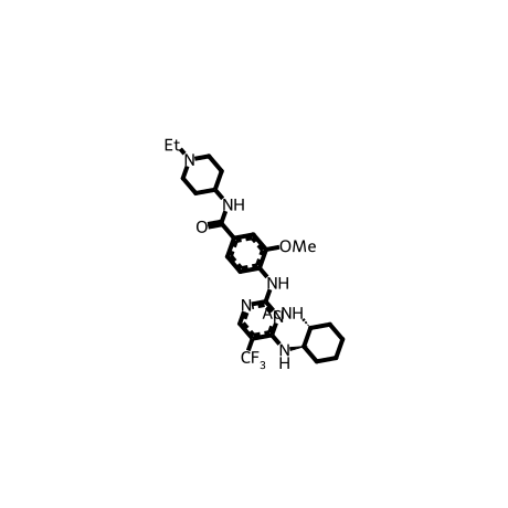 CCN1CCC(NC(=O)c2ccc(Nc3ncc(C(F)(F)F)c(N[C@@H]4CCCC[C@H]4NC(C)=O)n3)c(OC)c2)CC1